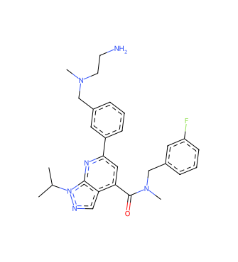 CC(C)n1ncc2c(C(=O)N(C)Cc3cccc(F)c3)cc(-c3cccc(CN(C)CCN)c3)nc21